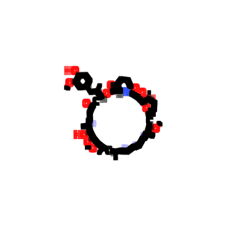 CO[C@H]1C[C@@H]2CC[C@@H](C)[C@@](O)(O2)C(=O)C(=O)N2CCCC[C@H]2C(=O)O[C@H]([C@H](C)C[C@@H]2CC[C@@H](O)[C@H](OC)C2)CC(=O)C/C=C(\C)[C@@H](O)[C@@H](OC)C(=O)[C@H](C)C[C@H](C)/C=C/C=C/C=C/1C